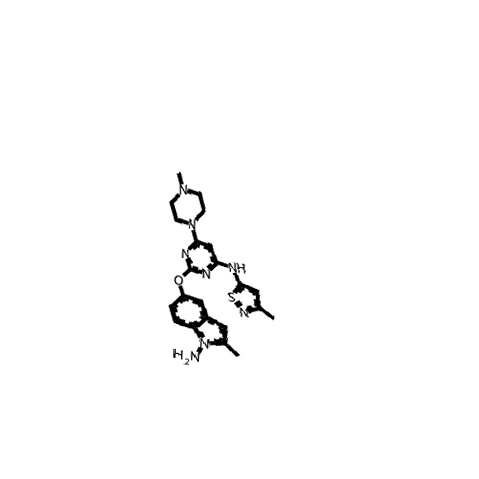 Cc1cc(Nc2cc(N3CCN(C)CC3)nc(Oc3ccc4c(c3)cc(C)n4N)n2)sn1